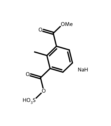 COC(=O)c1cccc(C(=O)OS(=O)(=O)O)c1C.[NaH]